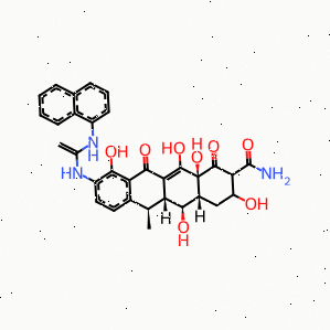 C=C(Nc1ccc2c(c1O)C(=O)C1=C(O)[C@]3(O)C(=O)C(C(N)=O)C(O)C[C@@H]3[C@@H](O)[C@@H]1[C@H]2C)Nc1cccc2ccccc12